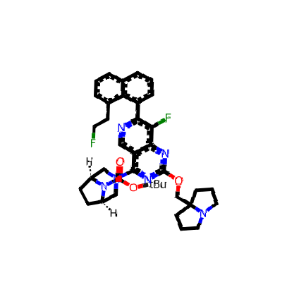 CC(C)(C)OC(=O)N1[C@@H]2CC[C@H]1CN(c1nc(OCC34CCCN3CCC4)nc3c(F)c(-c4cccc5cccc(CCF)c45)ncc13)C2